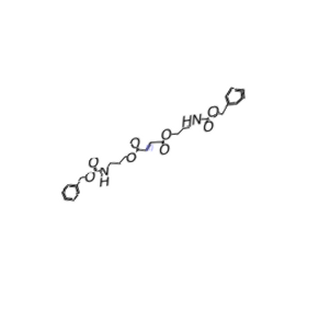 O=C(/C=C/C(=O)OCCCNC(=O)OCc1ccccc1)OCCCNC(=O)OCc1ccccc1